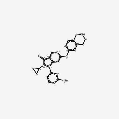 CC(C)(C)c1nccc(-n2c3cc(Nc4ccc5c(c4)CCNC5)ncc3c(=O)n2C2CC2)n1